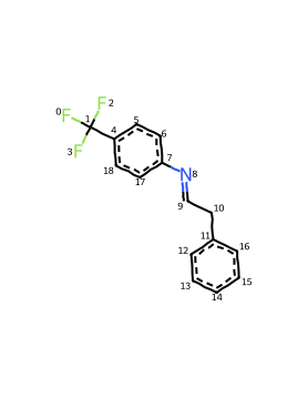 FC(F)(F)c1ccc(N=CCc2ccccc2)cc1